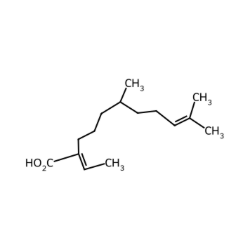 CC=C(CCCC(C)CCC=C(C)C)C(=O)O